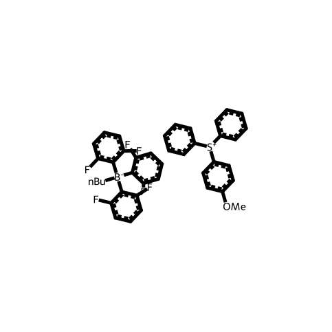 CCCC[B-](c1c(F)cccc1F)(c1c(F)cccc1F)c1c(F)cccc1F.COc1ccc([S+](c2ccccc2)c2ccccc2)cc1